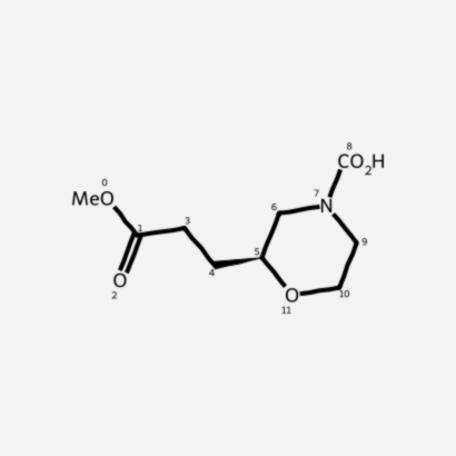 COC(=O)CC[C@H]1CN(C(=O)O)CCO1